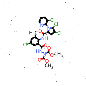 COC(=O)N(NC(=O)c1cc(Cl)cc(C)c1NC(=O)c1cc(Cl)c(Cl)n1-c1ncccc1Cl)C(=O)OC